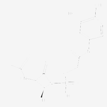 C[C@H]1C(NC(=O)O)C(=O)N1P(=O)(O)OCC(=O)Nc1ccc(O)c(O)c1